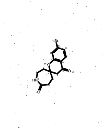 O=C1CCC2(CCN1)CC(=O)c1ccc(Br)cc1O2